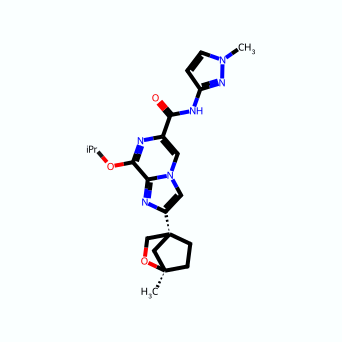 CC(C)Oc1nc(C(=O)Nc2ccn(C)n2)cn2cc([C@]34CC[C@](C)(C3)OC4)nc12